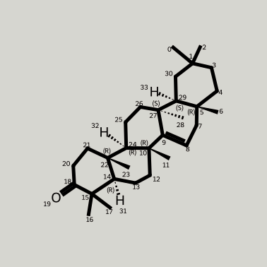 CC1(C)CC[C@]2(C)CC=C3[C@]4(C)CC[C@H]5C(C)(C)C(=O)CC[C@]5(C)[C@H]4CC[C@@]3(C)[C@H]2C1